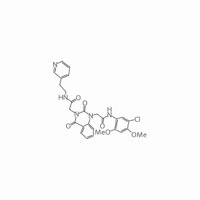 COc1cc(OC)c(NC(=O)Cn2c(=O)n(CC(=O)NCCc3cccnc3)c(=O)c3ccccc32)cc1Cl